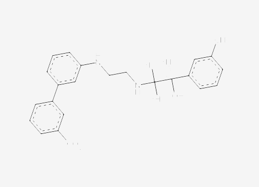 [2H]C([2H])(NCCNc1cccc(-c2cccc(C(=O)O)c2)c1)[C@]([2H])(O)c1cccc(C)c1